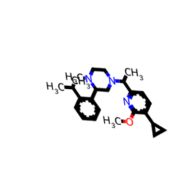 COc1nc(C(C)N2CCN(C)C(c3ccccc3C(C)C)C2)ccc1C1CC1